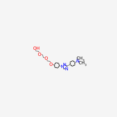 CN(C)c1ccc(-c2ncn(-c3ccc(OCCOCCOCCO)cc3)n2)cc1